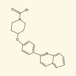 CCC(=O)N1CCC(Oc2ccc(-c3ccc4ccccc4n3)cc2)CC1